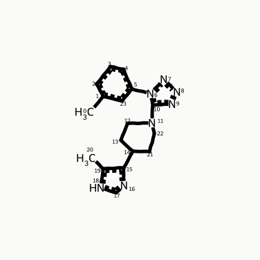 Cc1cccc(-n2nnnc2N2CCC(c3nc[nH]c3C)CC2)c1